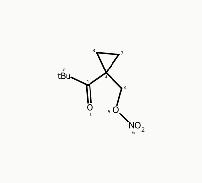 CC(C)(C)C(=O)C1(CO[N+](=O)[O-])CC1